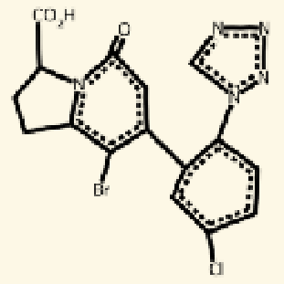 O=C(O)C1CCc2c(Br)c(-c3cc(Cl)ccc3-n3cnnn3)cc(=O)n21